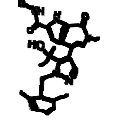 CCNC(=O)c1cc2c(-c3cnn(Cc4c(C)cccc4C)c3C(C)(C)O)cn(C)c(=O)c2[nH]1